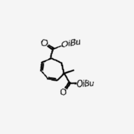 CC(C)COC(=O)C1C=CC=CC(C)(C(=O)OCC(C)C)C1